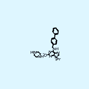 CC(C)n1cnc2c(NCc3ccc(-c4ccccc4)cc3)nc(OC[C@H]3CNCCN3)nc21